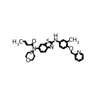 C/C=C/C(=O)N(c1ccc2nc(Nc3ccc(OCc4ccccn4)c(C)c3)sc2c1)N1CCOCC1